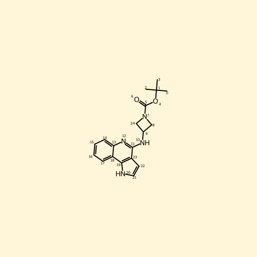 CC(C)(C)OC(=O)N1CC(Nc2nc3ccccc3c3[nH]ccc23)C1